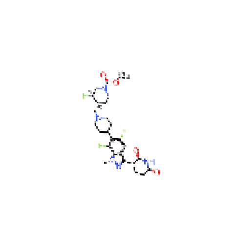 Cn1nc(C2CCC(=O)NC2=O)c2cc(F)c(C3CCN(C[C@H]4CCN(C(=O)OC(C)(C)C)C[C@H]4F)CC3)c(F)c21